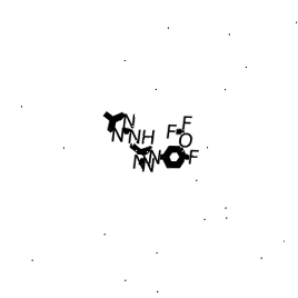 Cc1cnc(NCc2cn(-c3ccc(F)c(OC(F)F)c3)nn2)nc1